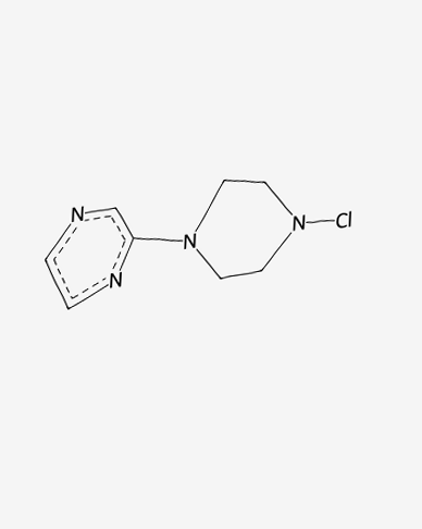 ClN1CCN(c2cnccn2)CC1